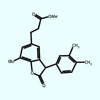 COC(=O)CCc1cc2c(c(C(C)(C)C)c1)OC(=O)C2c1ccc(C)c(C)c1